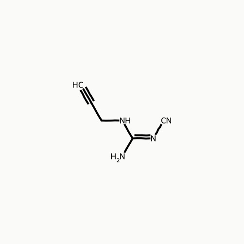 C#CCNC(N)=NC#N